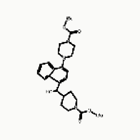 CC(C)(C)OC(=O)N1CCC(C(O)c2ccc(N3CCN(C(=O)OC(C)(C)C)CC3)c3ccccc23)CC1